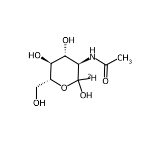 [2H]C1(O)O[C@H](CO)[C@@H](O)[C@H](O)[C@H]1NC(C)=O